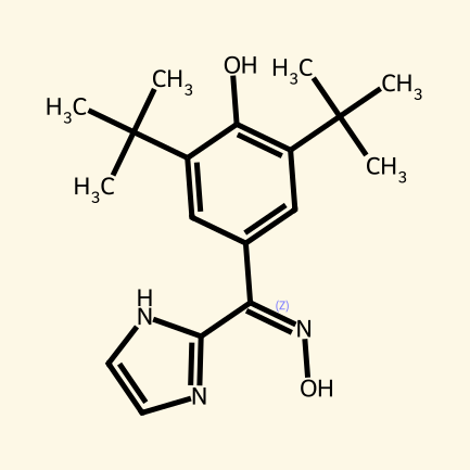 CC(C)(C)c1cc(/C(=N/O)c2ncc[nH]2)cc(C(C)(C)C)c1O